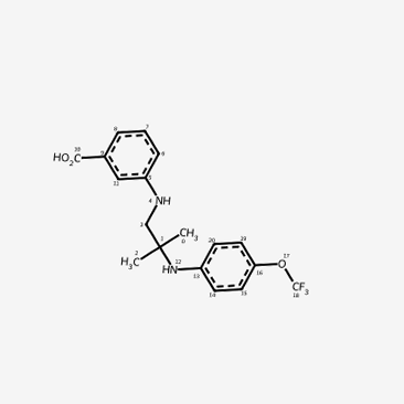 CC(C)(CNc1cccc(C(=O)O)c1)Nc1ccc(OC(F)(F)F)cc1